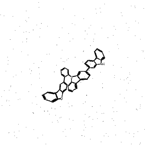 c1ccc(-n2c3ccccc3c3ccc(-c4ccc5c(c4)[nH]c4ccccc45)cc32)c(-c2ccc3oc4ccccc4c3c2)c1